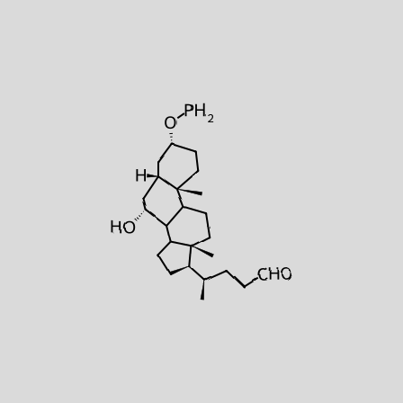 C[C@H](CCC=O)[C@H]1CCC2C3C(CC[C@@]21C)[C@@]1(C)CC[C@@H](OP)C[C@H]1C[C@H]3O